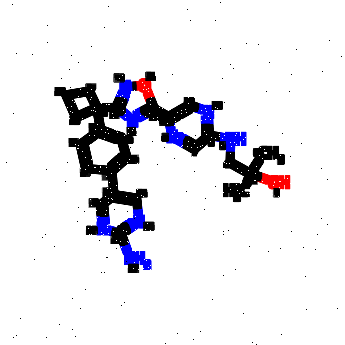 CC(C)(O)CNc1cnc(-c2nc(C3(c4ccc(-c5cnc(N)nc5)cc4)CCC3)no2)cn1